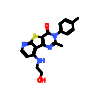 Cc1ccc(-n2c(C)nc3c(sc4nccc(NCCO)c43)c2=O)cc1